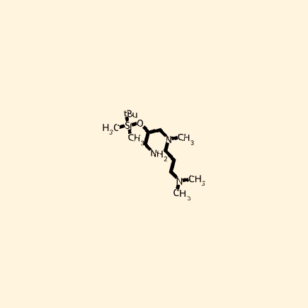 CN(C)CCCN(C)CC(CN)O[Si](C)(C)C(C)(C)C